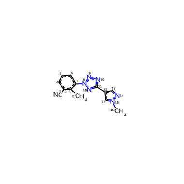 Cc1c(C#N)cccc1-n1nnc(-c2cnn(C)c2)n1